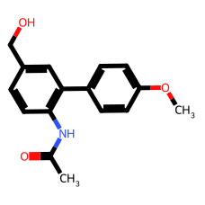 COc1ccc(-c2cc(CO)ccc2NC(C)=O)cc1